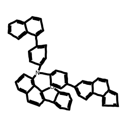 c1ccc2c(-c3ccc(N(c4ccc(-c5ccc6c(ccc7ccccc76)c5)cc4)c4cccc5ccc6c7ccccc7oc6c45)cc3)cccc2c1